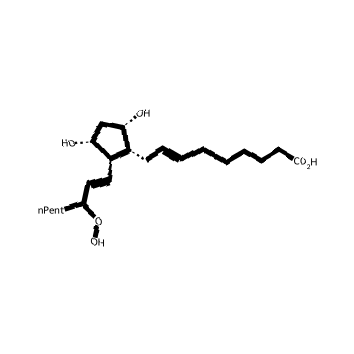 CCCCCC(/C=C/[C@@H]1[C@@H](C/C=C/CCCCCC(=O)O)[C@@H](O)C[C@H]1O)OO